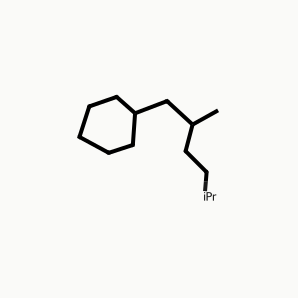 CC(C)CCC(C)CC1CCCCC1